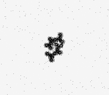 Cc1ccc(N(c2cccc(-c3cccc(-c4nc(-c5ccccc5)cc(-c5ccc(-n6c7ccccc7c7cc(N(c8ccccc8)c8ccccc8)ccc76)cc5)n4)c3)c2)c2ccc3c(c2)c2ccccc2n3-c2ccc(-c3cc(-c4ccccc4)nc(-c4ccccc4)n3)cc2)cc1